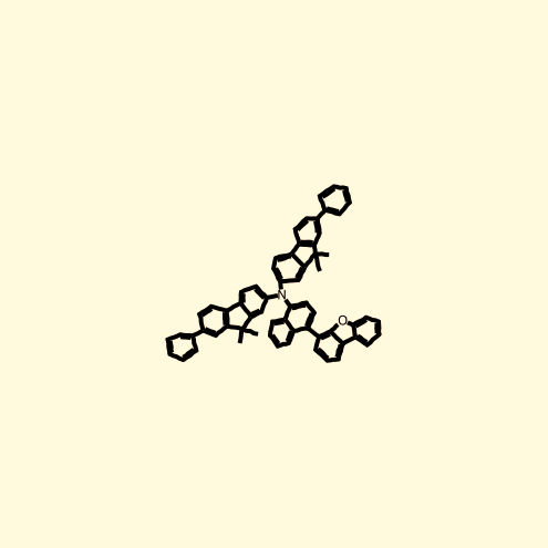 CC1(C)c2cc(-c3ccccc3)ccc2-c2ccc(N(c3ccc4c(c3)C(C)(C)c3cc(-c5ccccc5)ccc3-4)c3ccc(-c4cccc5c4oc4ccccc45)c4ccccc34)cc21